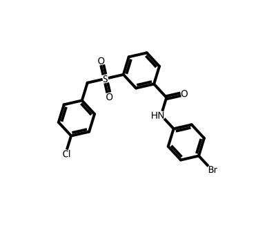 O=C(Nc1ccc(Br)cc1)c1cccc(S(=O)(=O)Cc2ccc(Cl)cc2)c1